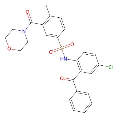 Cc1ccc(S(=O)(=O)Nc2ccc(Cl)cc2C(=O)c2ccccc2)cc1C(=O)N1CCOCC1